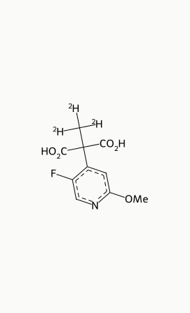 [2H]C([2H])([2H])C(C(=O)O)(C(=O)O)c1cc(OC)ncc1F